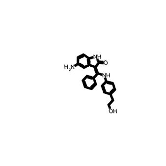 Nc1ccc2c(c1)/C(=C(/Nc1ccc(CCO)cc1)c1ccccc1)C(=O)N2